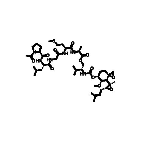 CO[C@@H]1[C@H](OC(=O)N[C@@H](COC(=O)[C@H](C)NC(=O)[C@H](CCSC)NC(=O)CNC(=O)[C@H](CC(C)C)NC(=O)[C@@H]2CCCN2C(C)=O)C(C)C)CC[C@]2(CO2)[C@H]1[C@@]1(C)O[C@@H]1CC=C(C)C